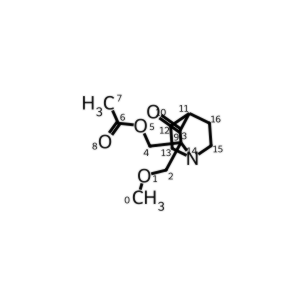 COCC1(COC(C)=O)C(=O)C2CCN1CC2